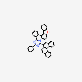 C1=Cc2oc3cccc(-c4ccccc4-c4nc(-c5ccccc5)nc(-c5cc6ccccc6c6c5ccc5ccccc56)n4)c3c2CC1